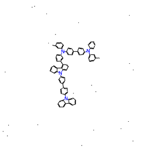 Cc1cccc(N(c2ccccc2)c2ccc(-c3ccc(N(c4cccc(C)c4)c4cccc(-c5cccc6c5c5ccccc5n6-c5ccc(-c6ccc(-n7c8ccccc8c8ccccc87)cc6)cc5)c4)cc3)cc2)c1